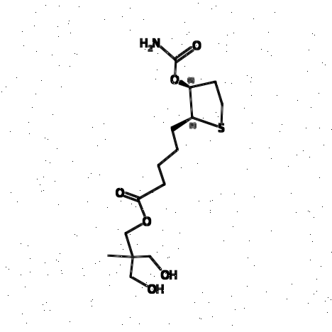 CC(CO)(CO)COC(=O)CCCC[C@@H]1SCC[C@@H]1OC(N)=O